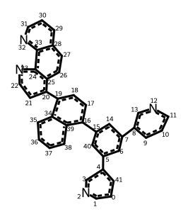 c1cncc(-c2cc(-c3cccnc3)cc(-c3ccc(-c4ccnc5c4ccc4cccnc45)c4ccccc34)c2)c1